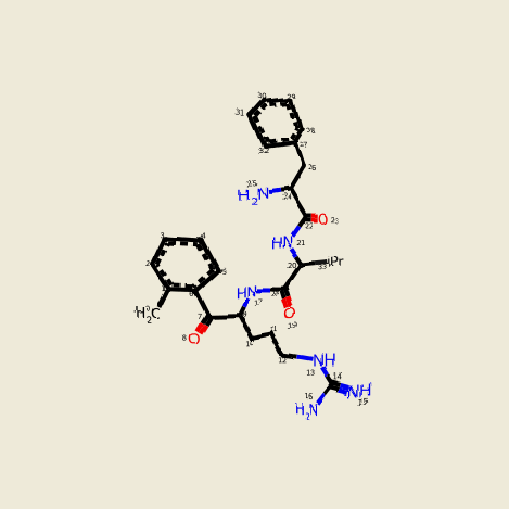 [CH2]c1ccccc1C(=O)C(CCCNC(=N)N)NC(=O)C(NC(=O)C(N)Cc1ccccc1)C(C)C